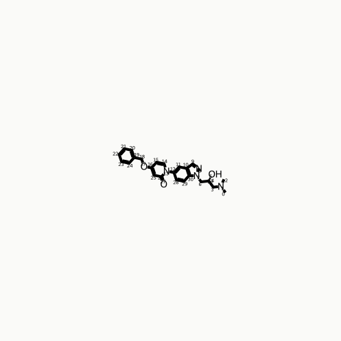 CN(C)C[C@H](O)Cn1ncc2cc(-n3ccc(OCc4ccccc4)cc3=O)ccc21